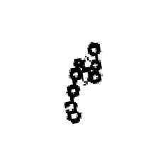 C/C=C(\C=C1\C=CC=CC1C)c1ccc(-c2cc#cc3c2Sc2ccccc2C32c3ccccc3N3c4ccccc4C4=CC=CC2C43)cc1